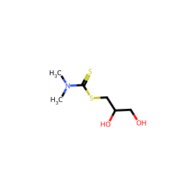 CN(C)C(=S)SCC(O)CO